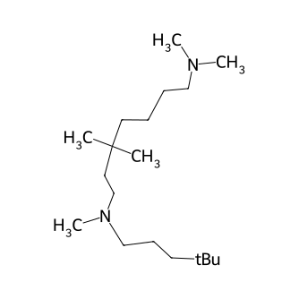 CN(C)CCCCC(C)(C)CCN(C)CCCC(C)(C)C